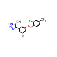 N#Cc1[nH]nnc1-c1cc(F)cc(OCc2ccc(C(F)(F)F)cc2F)c1